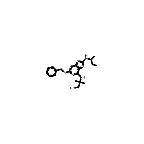 CCC(C)Nc1nc2nc(SCc3ccccc3)nc(NC(C)(C)CO)c2s1